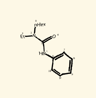 CCCCCCN(CC)C(=O)Nc1ccccc1